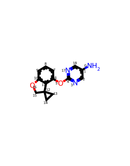 Nc1cnc(Oc2cccc3c2C2(CC2)CO3)nc1